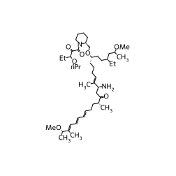 CCCOC(CC)C(=O)C(=O)N1CCCC[C@H]1CO[C@@H](CCC/C=C(\C)[C@@H](N)CC(=O)[C@H](C)CC/C=C/C=C/C=C(\C)[C@H](C)OC)CC[C@H](CC)C[C@H](C)OC